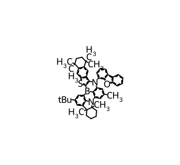 Cc1cc2c3c(c1)N1c4c(cc(C(C)(C)C)cc4C4(C)CCCCC14C)B3c1sc3cc4c(cc3c1N2c1cccc2c1oc1ccccc12)C(C)(C)CCC4(C)C